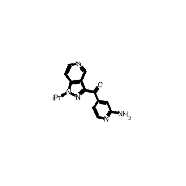 CC(C)n1nc(C(=O)c2ccnc(N)c2)c2cnccc21